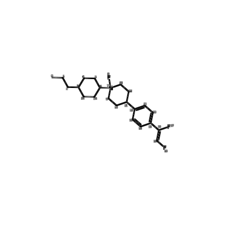 CCCC1CCC([Si]2(F)CCC(c3ccc(C(F)=CF)cc3)CC2)CC1